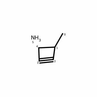 CC1C#CC1.N